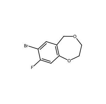 Fc1cc2c(cc1Br)COCCO2